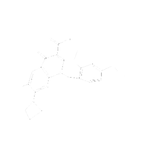 COc1ccc(Cn2cc(C(=O)O)c(=O)c3cc(F)c(N4CCC4)nc32)c(OC)c1